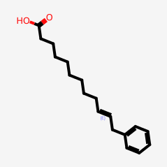 O=C(O)CCCCCCCC/C=C/Cc1ccccc1